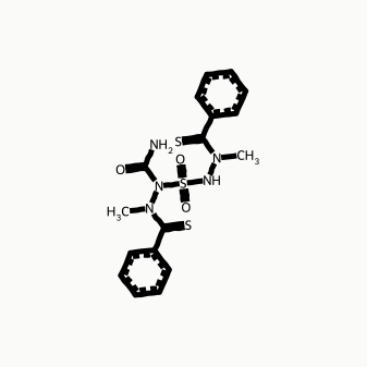 CN(NS(=O)(=O)N(C(N)=O)N(C)C(=S)c1ccccc1)C(=S)c1ccccc1